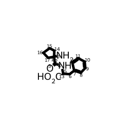 NC1(C(=O)N[C@@H](Cc2ccccc2)C(=O)O)CCCC1